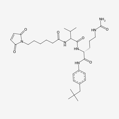 CC(C)C(NC(=O)CCCCCN1C(=O)C=CC1=O)C(=O)N[C@H](CCCNC(N)=O)C(=O)Nc1ccc(CC(C)(C)C)cc1